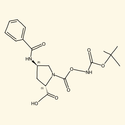 CC(C)(C)OC(=O)NOC(=O)N1C[C@H](NC(=O)c2ccccc2)C[C@H]1C(=O)O